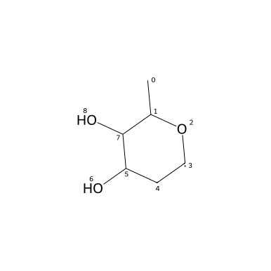 CC1O[CH]CC(O)C1O